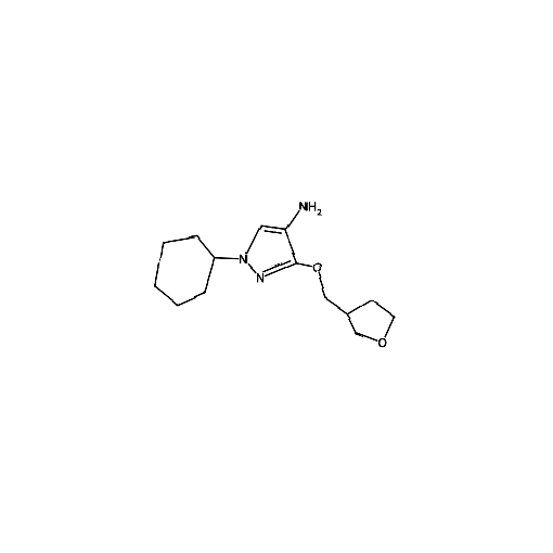 Nc1cn(C2CCCCC2)nc1OCC1CCOC1